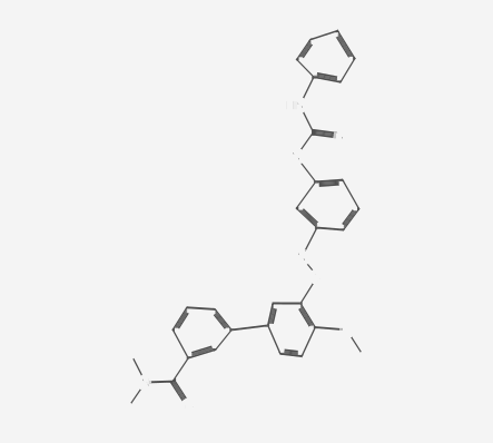 COc1ccc(-c2cccc(C(=O)N(C)C)c2)cc1SNc1cccc(NC(=N)Nc2ccccc2)c1